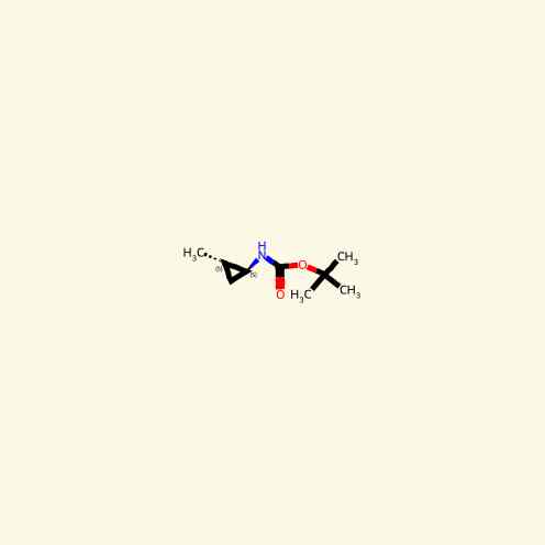 C[C@H]1C[C@@H]1NC(=O)OC(C)(C)C